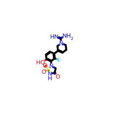 N=C(N)N1CCC=C(c2ccc(O)c(N3CC(=O)NS3(=O)=O)c2F)C1